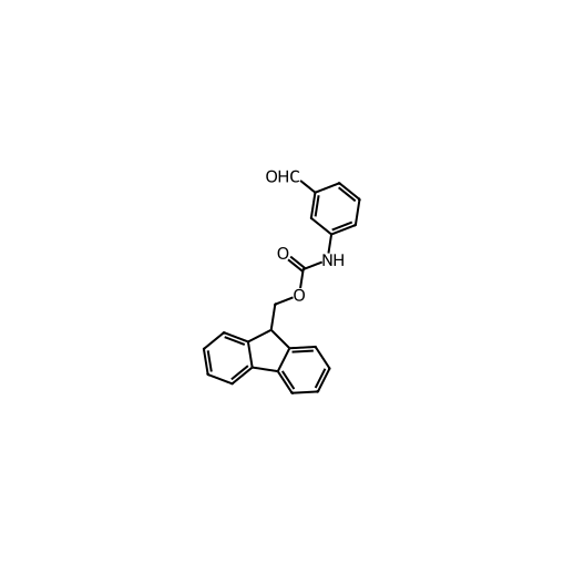 O=Cc1cccc(NC(=O)OCC2c3ccccc3-c3ccccc32)c1